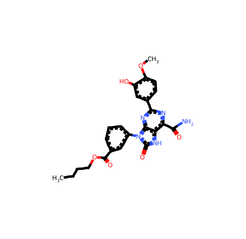 CCCCOC(=O)c1cccc(-n2c(=O)[nH]c3c(C(N)=O)nc(-c4ccc(OC)c(O)c4)nc32)c1